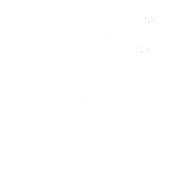 NNC(=O)CCSCc1ccccc1